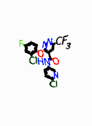 O=C(Nc1ccc(Cl)nc1)c1cc(C(F)(F)F)nnc1Oc1ccc(F)cc1Cl